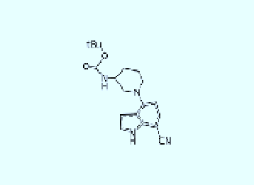 CC(C)(C)OC(=O)NC1CCCN(c2ccc(C#N)c3[nH]ccc23)C1